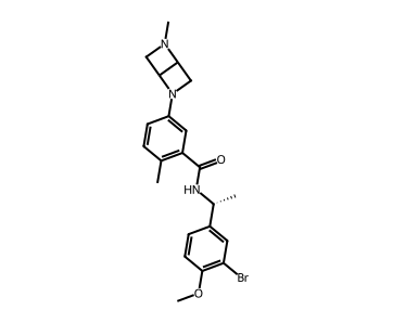 COc1ccc([C@@H](C)NC(=O)c2cc(N3CC4C3CN4C)ccc2C)cc1Br